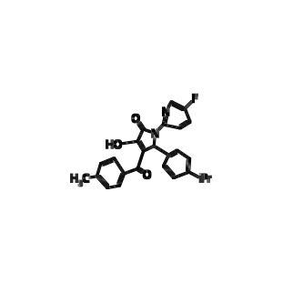 Cc1ccc(C(=O)C2=C(O)C(=O)N(c3ccc(F)cn3)C2c2ccc(C(C)C)cc2)cc1